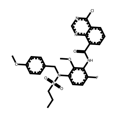 CCCS(=O)(=O)N(Cc1ccc(OC)cc1)c1ccc(F)c(NC(=O)c2cccc3c(Cl)ncnc23)c1OC